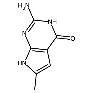 Cc1cc2c(=O)[nH]c(N)nc2[nH]1